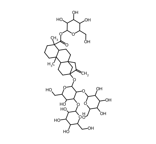 C=C1CC23CCC4C(C)(C(=O)OC5OC(CO)C(O)C(O)C5O)CCCC4(C)C2CCC1(OC1OC(CO)C(O)C(OC2OC(CO)C(O)C(O)C2O)C1OC1OC(CO)C(O)C(O)C1O)C3